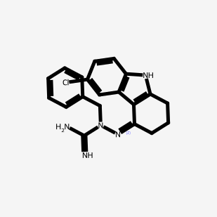 N=C(N)N(Cc1ccccc1)/N=C1/CCCc2[nH]c3ccc(Cl)cc3c21